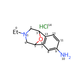 CCN1CC2OC(C1)c1cc(N)ccc12.Cl